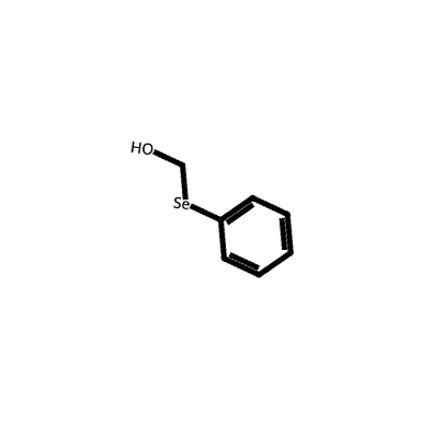 OC[Se]c1ccccc1